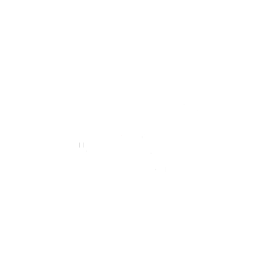 C=CCCC(C)(C)OC(=O)C=C